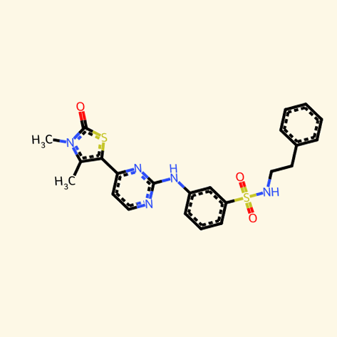 Cc1c(-c2ccnc(Nc3cccc(S(=O)(=O)NCCc4ccccc4)c3)n2)sc(=O)n1C